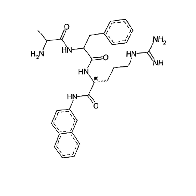 CC(N)C(=O)NC(Cc1ccccc1)C(=O)N[C@H](CCCNC(=N)N)C(=O)Nc1ccc2ccccc2c1